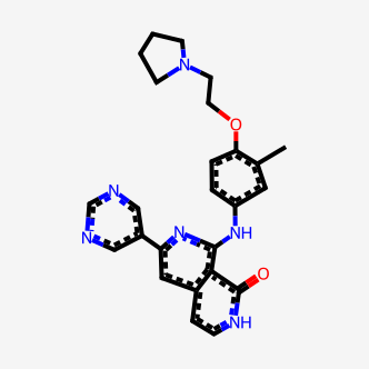 Cc1cc(Nc2nc(-c3cncnc3)cc3cc[nH]c(=O)c23)ccc1OCCN1CCCC1